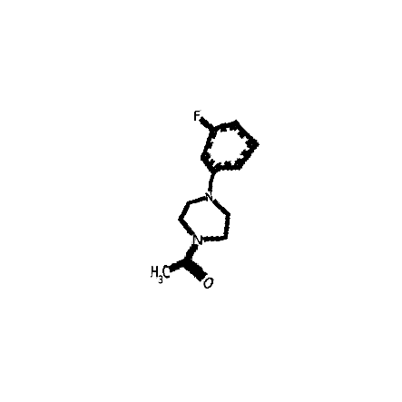 CC(=O)N1CCN(c2cc[c]c(F)c2)CC1